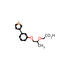 CC(COc1cccc(-c2ccsc2)c1)OCC(=O)O